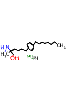 CCCCCCCCc1ccc(CCCCC(C)(N)CO)cc1.Cl.[HH]